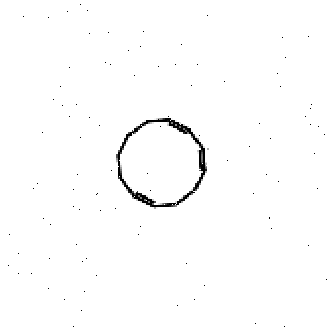 [C]1=CCCC=CCCCCC=C1